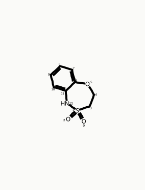 O=S1(=O)CCOc2ccccc2N1